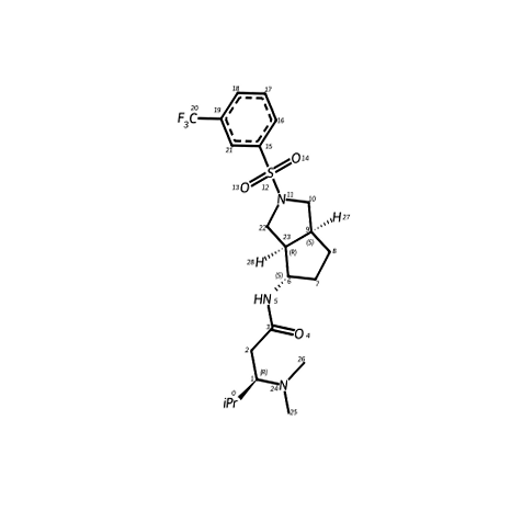 CC(C)[C@@H](CC(=O)N[C@H]1CC[C@@H]2CN(S(=O)(=O)c3cccc(C(F)(F)F)c3)C[C@@H]21)N(C)C